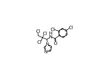 O=C(NC(n1ccnc1)C(Cl)(Cl)CCl)c1ccc(Cl)cc1Cl